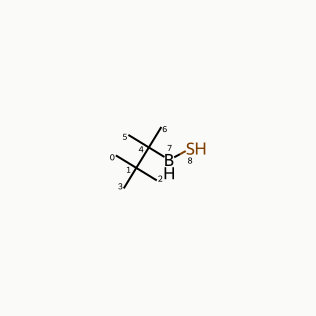 CC(C)(C)C(C)(C)BS